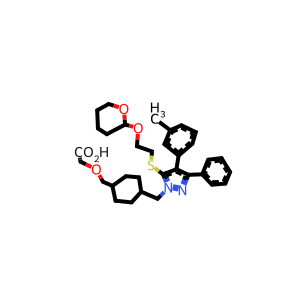 Cc1cccc(-c2c(-c3ccccc3)nn(CC3CCC(COCC(=O)O)CC3)c2SCCOC2CCCCO2)c1